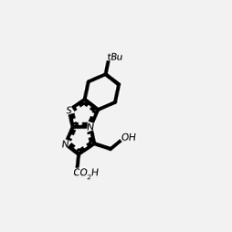 CC(C)(C)C1CCc2c(sc3nc(C(=O)O)c(CO)n23)C1